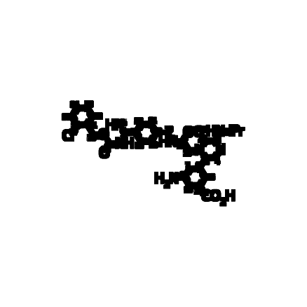 CC(C)Nc1ncc(-c2cc(N)cc(C(=O)O)c2)n(CC(=O)NCc2ccc(C(=N)NC(=O)OCc3ccccc3Cl)cc2)c1=O